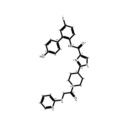 O=C(Nc1ccc(F)cc1-c1ccc(O)cc1)c1csc(C2CCN(C(=O)CSc3ccccn3)CC2)n1